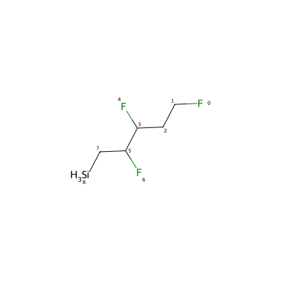 FCCC(F)C(F)C[SiH3]